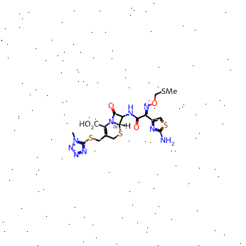 CSCON=C(C(=O)NC1C(=O)N2C(C(=O)O)=C(CSc3nnnn3C)CS[C@@H]12)c1csc(N)n1